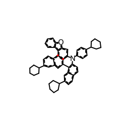 c1ccc2c(c1)oc1cc(N(c3ccc(C4CCCCC4)cc3)c3ccc4ccc(C5CCCCC5)cc4c3-c3ccc4ccc(C5CCCCC5)cc4c3)ccc12